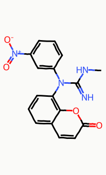 CNC(=N)N(c1cccc([N+](=O)[O-])c1)c1cccc2ccc(=O)oc12